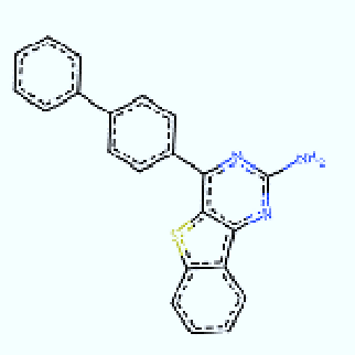 Nc1nc(-c2ccc(-c3ccccc3)cc2)c2sc3ccccc3c2n1